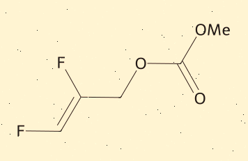 COC(=O)OC/C(F)=C/F